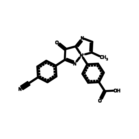 CC1=CN=C2C(=O)C(c3ccc(C#N)cc3)=N[N+]12c1ccc(C(=O)O)cc1